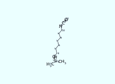 C[SiH](C)OCCCCCCCN=C=O